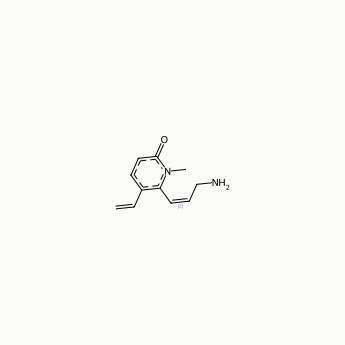 C=Cc1ccc(=O)n(C)c1/C=C\CN